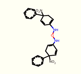 O=[N+]([O-])C1(c2ccccc2)C=CC(NONC2=CCC(c3ccccc3)([N+](=O)[O-])C=C2)=CC1